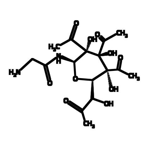 CC(=O)C(O)[C@H]1O[C@@H](NC(=O)CN)[C@@](O)(C(C)=O)[C@](O)(C(C)=O)[C@@]1(O)C(C)=O